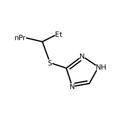 CCCC(CC)Sc1nc[nH]n1